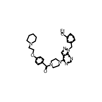 CCOc1cccc(Cn2ncc3c(N4CCN(C(=O)c5ccc(OCCN6CCCCC6)cc5)CC4)ncnc32)c1